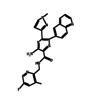 Cc1cc(F)cnc1CNC(=O)c1nc(-c2ccc3ncccc3c2)c(-c2ccn(C)n2)nc1N